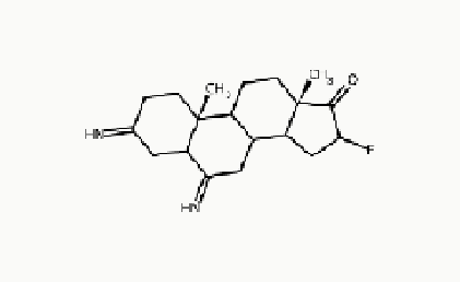 C[C@]12CCC(=N)CC1C(=N)CC1C2CC[C@]2(C)C(=O)C(F)CC12